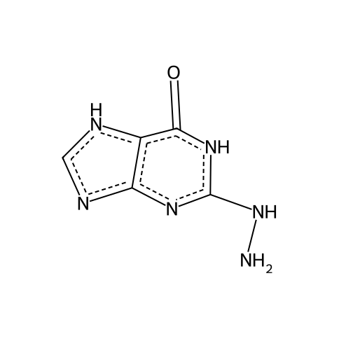 NNc1nc2nc[nH]c2c(=O)[nH]1